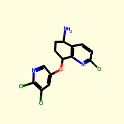 NC1CCC(Oc2cnc(Cl)c(Cl)c2)c2nc(Cl)ccc21